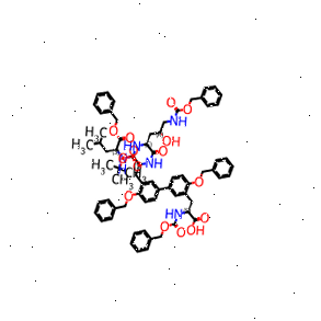 CC(C)C[C@H](NC(=O)[C@H](Cc1cc(-c2ccc(OCc3ccccc3)c(C[C@H](NC(=O)OCc3ccccc3)C(=O)O)c2)ccc1OCc1ccccc1)NC(=O)[C@H](C[C@@H](O)CNC(=O)OCc1ccccc1)NC(=O)OC(C)(C)C)C(=O)OCc1ccccc1